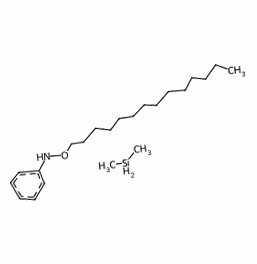 CCCCCCCCCCCCCCONc1ccccc1.C[SiH2]C